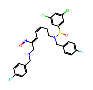 O=N/C(=C\C=C/CCN(Cc1ccc(F)cc1)[S+]([O-])c1cc(Cl)cc(Cl)c1)CNCc1ccc(F)cc1